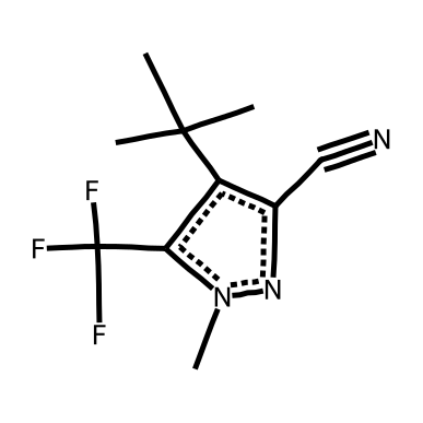 Cn1nc(C#N)c(C(C)(C)C)c1C(F)(F)F